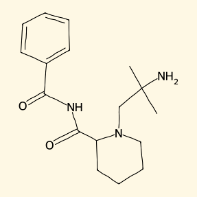 CC(C)(N)CN1CCCCC1C(=O)NC(=O)c1ccccc1